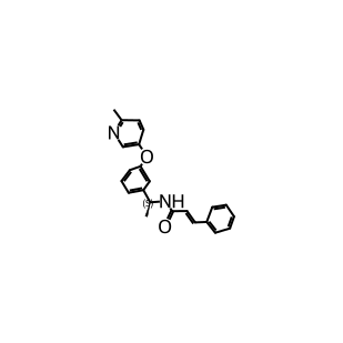 Cc1ccc(Oc2cccc([C@H](C)NC(=O)C=Cc3ccccc3)c2)cn1